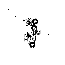 CCS(=O)(=O)N1CC2(CCN(C(=O)[C@@H](COCc3ccccc3)NC(=O)C(C)(C)N)CC2)c2ccccc21.Cl